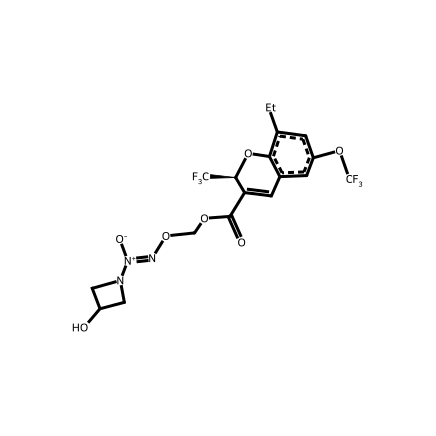 CCc1cc(OC(F)(F)F)cc2c1O[C@H](C(F)(F)F)C(C(=O)OCO/N=[N+](\[O-])N1CC(O)C1)=C2